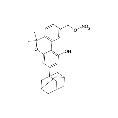 CC1(C)Oc2cc(C34CC5CC(CC(C5)C3)C4)cc(O)c2-c2cc(CO[N+](=O)[O-])ccc21